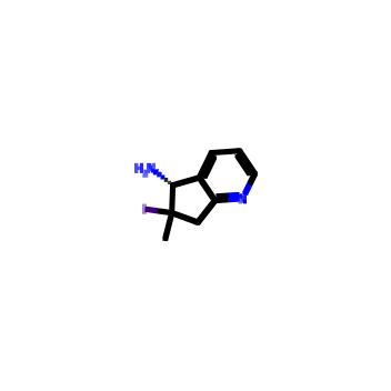 CC1(I)Cc2ncccc2[C@H]1N